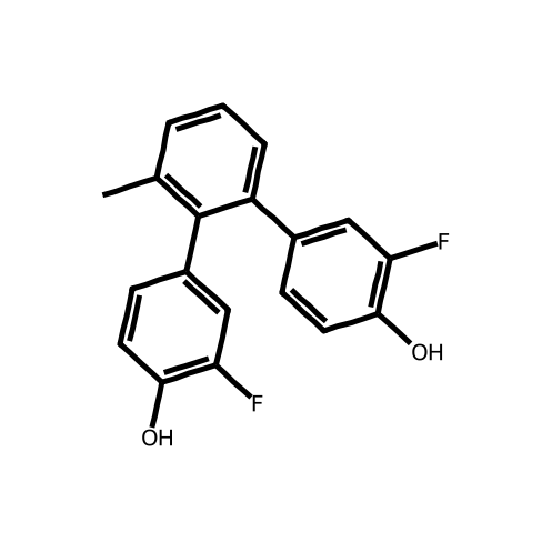 Cc1cccc(-c2ccc(O)c(F)c2)c1-c1ccc(O)c(F)c1